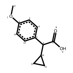 COc1ccc(C(C(=O)O)C2CC2)cc1